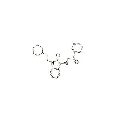 O=C(C/N=C1\C(=O)N(CCC2CCCCC2)c2ccccc21)c1ccccc1